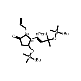 C=CC[C@H]1C(=O)CC(O[Si](C)(C)C(C)(C)C)[C@@H]1C=CC(C)(CCCCC)O[Si](C)(C)C(C)(C)C